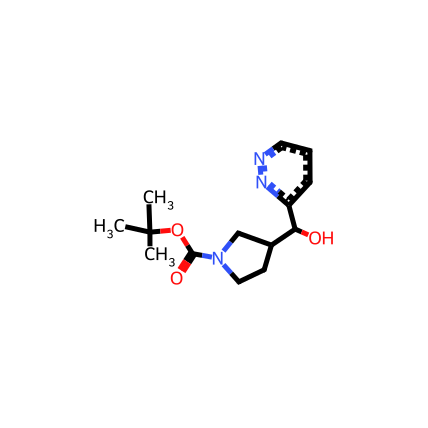 CC(C)(C)OC(=O)N1CCC(C(O)c2cccnn2)C1